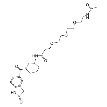 CC(=O)NCCOCCOCCOCCC(=O)NC1CCCN(C(=O)c2ccc3c(c2)CC(=O)N3)C1